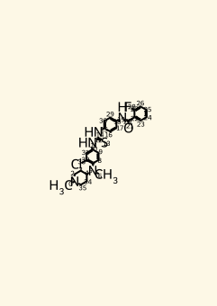 CN1CCC(N(C)c2ccc(NC(=S)Nc3ccc(NC(=O)c4ccccc4F)cc3)cc2Cl)CC1